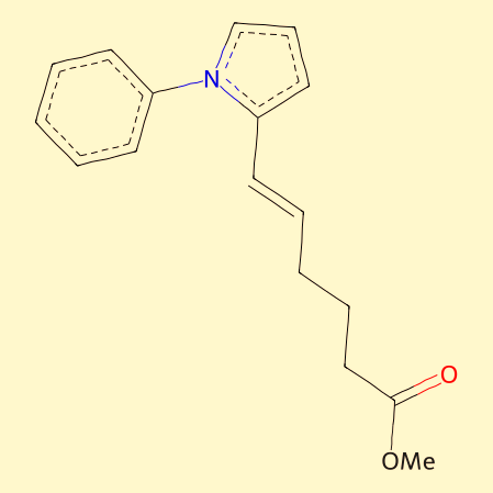 COC(=O)CCCC=Cc1cccn1-c1ccccc1